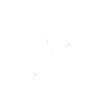 COP(=S)(S)Oc1ccncc1